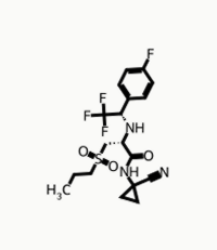 CCCS(=O)(=O)C[C@H](N[C@@H](c1ccc(F)cc1)C(F)(F)F)C(=O)NC1(C#N)CC1